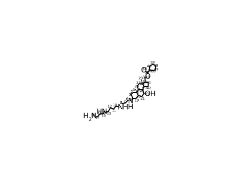 C[C@]12CC[C@H](NCCCNCCCCNCCCN)CC1C[C@@H](O)C1C2CC[C@]2(C)C(COC(=O)C3CCCCC3)CCC12